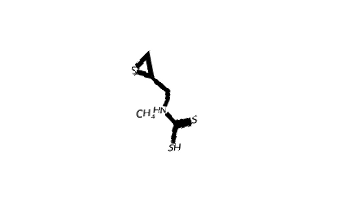 C.S=C(S)NCC1CS1